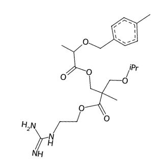 Cc1ccc(COC(C)C(=O)OCC(C)(COC(C)C)C(=O)OCCNC(=N)N)cc1